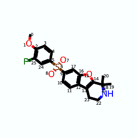 COc1ccc(S(=O)(=O)c2ccc3c4c(oc3c2)C(C)(C)NCC4)cc1F